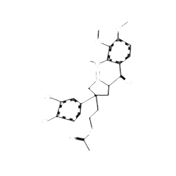 COc1ccc(C(=O)C2CC(CCOC(C)=O)(c3ccc(Cl)c(Cl)c3)CN2)c(OC)c1OC